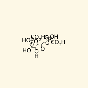 O=C(COP(=O)(O)C(=O)O)[C@H](OP(=O)(O)C(=O)O)[C@H](O)CO